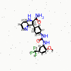 COc1ccc(C(F)(F)F)cc1NC(=O)Nc1ccc(-c2c(C(N)=O)[nH]c3cccnc23)cc1